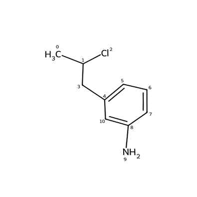 CC(Cl)Cc1cccc(N)c1